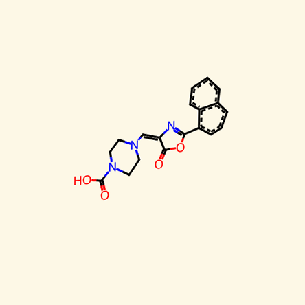 O=C1OC(c2cccc3ccccc23)=N/C1=C/N1CCN(C(=O)O)CC1